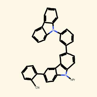 CCCn1c2ccc(-c3cccc(-n4c5ccccc5c5ccccc54)c3)cc2c2cc(-c3ccccc3C#N)ccc21